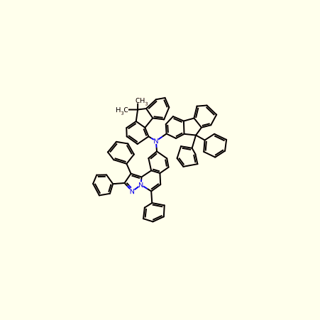 CC1(C)c2ccccc2-c2c(N(c3ccc4c(c3)C(c3ccccc3)(c3ccccc3)c3ccccc3-4)c3ccc4cc(-c5ccccc5)n5nc(-c6ccccc6)c(-c6ccccc6)c5c4c3)cccc21